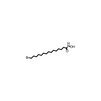 O=C(CCCCCCCCCCCCCCBr)NO